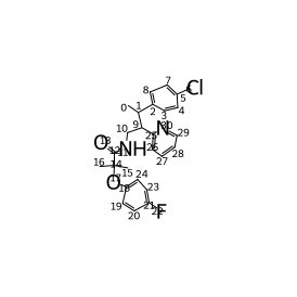 CC(c1ccc(Cl)cc1)C(CNC(=O)C(C)(C)Oc1ccc(F)cc1)c1ccccn1